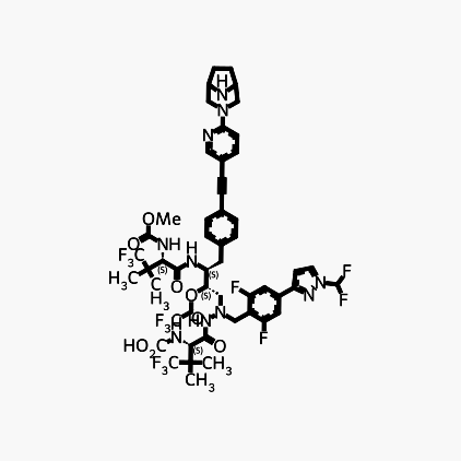 COC(=O)N[C@H](C(=O)N[C@@H](Cc1ccc(C#Cc2ccc(N3CC4CCC(C3)N4)nc2)cc1)[C@H](CN(Cc1c(F)cc(-c2ccn(C(F)F)n2)cc1F)NC(=O)[C@@H](NC(=O)O)C(C)(C)C(F)(F)F)OC(=O)C(F)(F)F)C(C)(C)C(F)(F)F